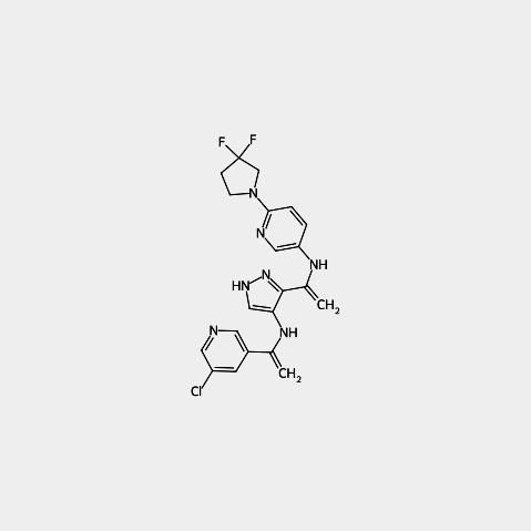 C=C(Nc1c[nH]nc1C(=C)Nc1ccc(N2CCC(F)(F)C2)nc1)c1cncc(Cl)c1